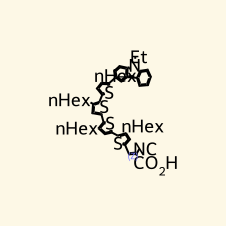 [C-]#[N+]/C(=C\c1cc(CCCCCC)c(-c2cc(CCCCCC)c(-c3cc(CCCCCC)c(-c4cc(CCCCCC)c(-c5ccc6c(c5)c5ccccc5n6CC)s4)s3)s2)s1)C(=O)O